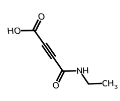 CCNC(=O)C#CC(=O)O